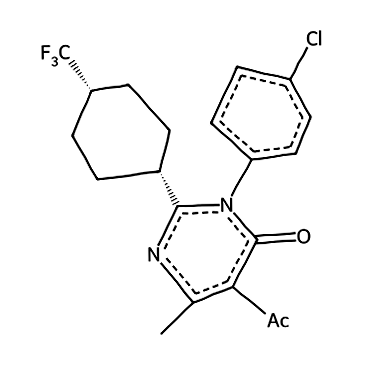 CC(=O)c1c(C)nc([C@H]2CC[C@@H](C(F)(F)F)CC2)n(-c2ccc(Cl)cc2)c1=O